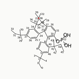 CCC(C)(C)c1ccc(-c2c(OP(O)O)ccc(C(C)(C)CC)c2-c2ccc(C(C)(C)CC)cc2C(C)(C)CC)c(C(C)(C)CC)c1